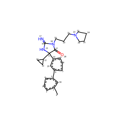 Cc1cccc(-c2cccc(C3(C4CC4)NC(=N)N(CCCN4CCCC4)C3=O)c2)c1